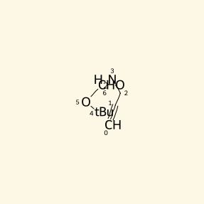 C#CCN.CC(C)(C)OC=O